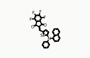 O=C1C(=Cc2ccc(N(c3ccccc3)c3cccc4ccccc34)[se]2)C(=O)c2c(F)c(F)c(F)c(F)c21